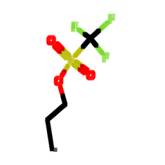 [CH2]CCOS(=O)(=O)C(F)(F)F